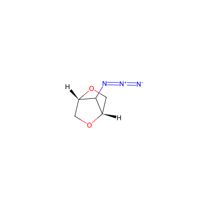 [N-]=[N+]=NC1[C@@H]2CO[C@H]1CO2